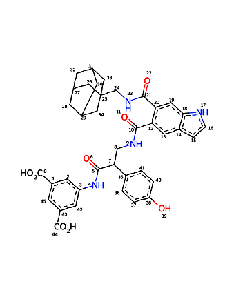 O=C(O)c1cc(NC(=O)C(CNC(=O)c2cc3cc[nH]c3cc2C(=O)NCC23CC4CC(CC(C4)C2)C3)c2ccc(O)cc2)cc(C(=O)O)c1